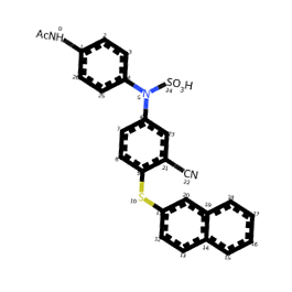 CC(=O)Nc1ccc(N(c2ccc(Sc3ccc4ccccc4c3)c(C#N)c2)S(=O)(=O)O)cc1